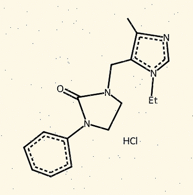 CCn1cnc(C)c1CN1CCN(c2ccccc2)C1=O.Cl